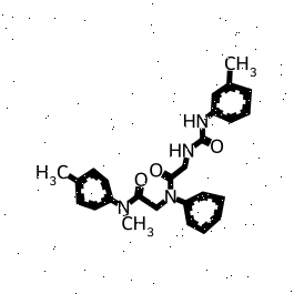 Cc1ccc(N(C)C(=O)CN(C(=O)CNC(=O)Nc2cccc(C)c2)c2ccccc2)cc1